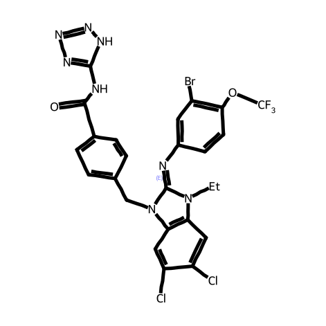 CCn1/c(=N\c2ccc(OC(F)(F)F)c(Br)c2)n(Cc2ccc(C(=O)Nc3nnn[nH]3)cc2)c2cc(Cl)c(Cl)cc21